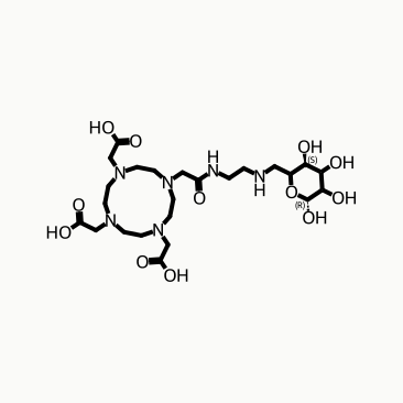 O=C(O)CN1CCN(CC(=O)O)CCN(CC(=O)NCCNCC2O[C@@H](O)C(O)C(O)[C@@H]2O)CCN(CC(=O)O)CC1